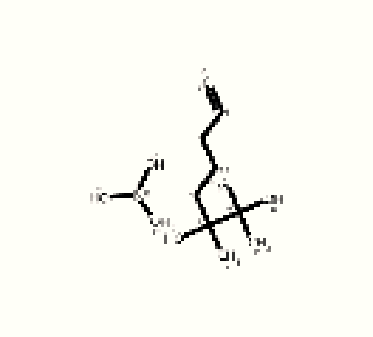 C=CCCCC(C)(O)C(C)(C)O.OB(O)O